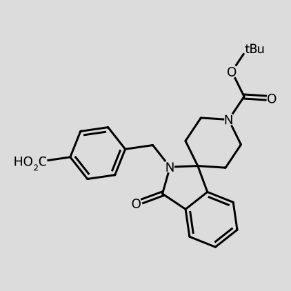 CC(C)(C)OC(=O)N1CCC2(CC1)c1ccccc1C(=O)N2Cc1ccc(C(=O)O)cc1